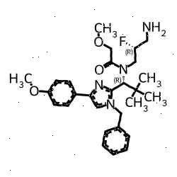 COCC(=O)N(C[C@H](F)CN)[C@@H](c1nc(-c2ccc(OC)cc2)cn1Cc1ccccc1)C(C)(C)C